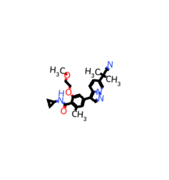 COCCOc1cc(-c2cnn3cc(C(C)(C)C#N)ccc23)cc(C)c1C(=O)NC1CC1